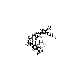 Cc1cc(N2CCC(CN3CCN[C@H](c4ccc5c(c4C)COC5=O)C3)C2)ncc1C#N